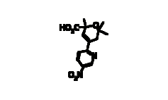 CC1(C)CC(c2ccc([N+](=O)[O-])cn2)=CC(C)(C(=O)O)O1